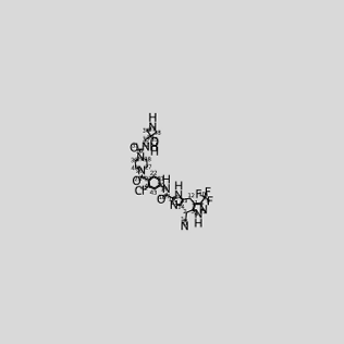 N#CCc1[nH]nc(C(F)(F)F)c1Cc1cnc(C(=O)Nc2ccc(C(=O)N3CCN(C(=O)NCC4(O)CNC4)CC3)c(Cl)c2)[nH]1